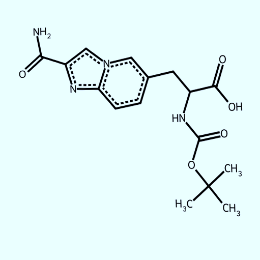 CC(C)(C)OC(=O)NC(Cc1ccc2nc(C(N)=O)cn2c1)C(=O)O